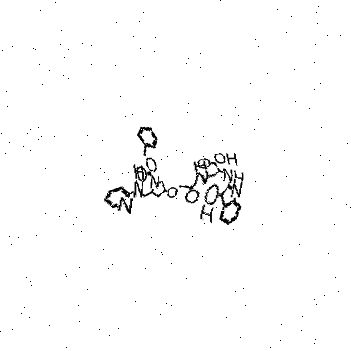 O=C(COC1CC(CNc2ccccn2)N(C(=O)OCc2ccccc2)C1)NC[C@H](NC1=Nc2ccccc2C1O)C(=O)O